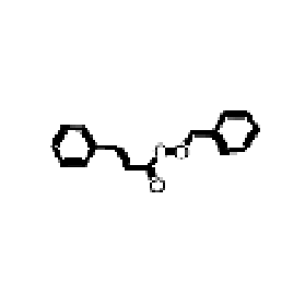 O=C(C=Cc1ccccc1)OOCc1ccccc1